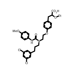 CCOC(Cc1ccc(OCCN(CCCc2cc(Cl)cc(Cl)c2)C(=O)Nc2ccc(OC)cc2)cc1)C(=O)O